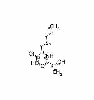 CCCSCC(NC(=O)C(C)O)C(=O)O